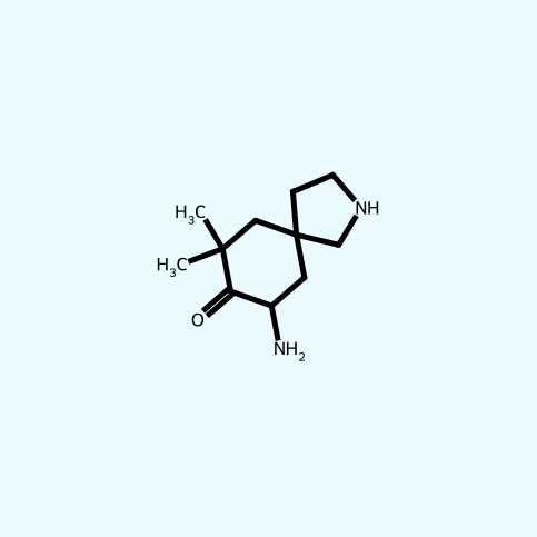 CC1(C)CC2(CCNC2)CC(N)C1=O